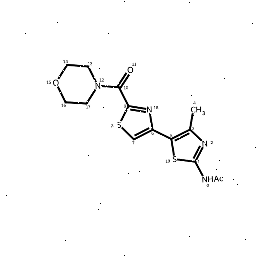 CC(=O)Nc1nc(C)c(-c2csc(C(=O)N3CCOCC3)n2)s1